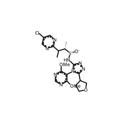 COc1ncnc(OC)c1-n1c(N[S+]([O-])[C@@H](C)C(C)c2ncc(Cl)cn2)nnc1C1CCOC1